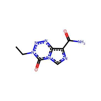 CCn1nnc2c(C(N)=O)ncn2c1=O